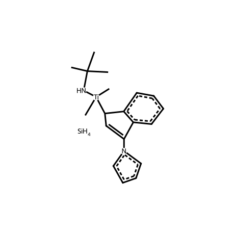 CC(C)(C)[NH][Ti]([CH3])([CH3])[CH]1C=C(n2cccc2)c2ccccc21.[SiH4]